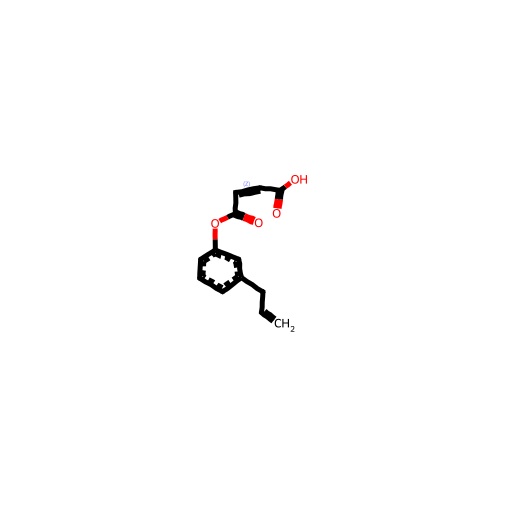 C=CCc1cccc(OC(=O)/C=C\C(=O)O)c1